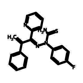 C=C(C(=NN(C(N)=S)c1ccc(F)cc1)c1ccccn1)c1ccccc1